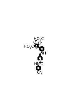 N#Cc1ccc(NC(=O)N2CCC(CNc3cccc(-c4sc(C(=O)O)c(OCC(=O)O)c4Br)c3)CC2)cc1